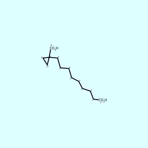 O=C(O)CCCCCCCCC1(C(=O)O)CC1